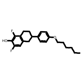 CCCCCCOc1ccc(C2CCc3c(cc(F)c(O)c3F)C2)cc1